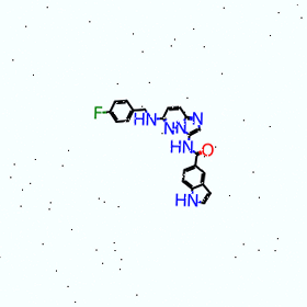 O=C(Nc1cnc2ccc(NCc3ccc(F)cc3)nn12)c1ccc2[nH]ccc2c1